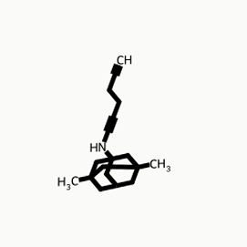 C#CCCC#CNC12CC3CC(C)(CC(C)(C3)C1)C2